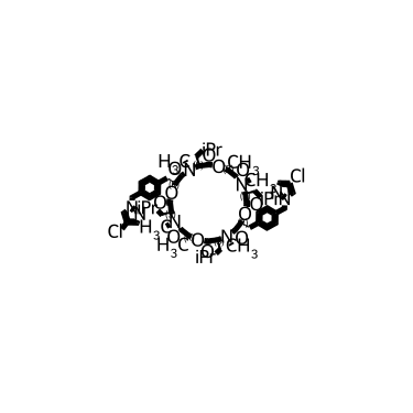 CC(C)C[C@H]1C(=O)O[C@H](Cc2ccc(Cn3cc(Cl)cn3)cc2)C(=O)N(C)[C@@H](CC(C)C)C(=O)O[C@H](C)C(=O)N(C)[C@@H](CC(C)C)C(=O)O[C@H](Cc2ccc(Cn3cc(Cl)cn3)cc2)C(=O)N(C)[C@@H](CC(C)C)C(=O)O[C@H](C)C(=O)N1C